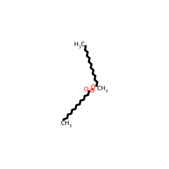 CCCCCCCCCCCCCCC(C)OOC(=O)CCCCCCCCCCCCC